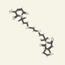 CCC1C=CC(=O)N(C(C)(C)CCSCCSCCC(C)(C)N2C(=O)C=C3SCCC3C2=O)C1=O